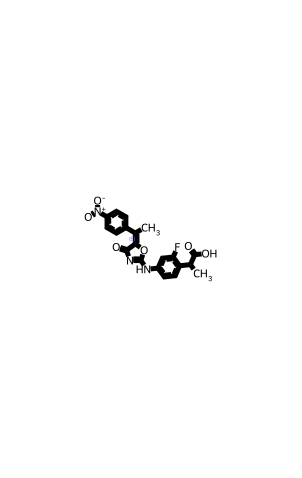 C/C(=C1\OC(Nc2ccc(C(C)C(=O)O)c(F)c2)=NC1=O)c1ccc([N+](=O)[O-])cc1